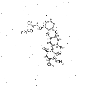 CCCOC(=O)COc1ncccc1Oc1cc(-n2c(=O)cc(C(F)(F)F)n(C)c2=O)c(F)cc1Cl